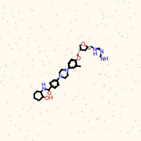 Cc1cc(N2CCN(c3ccc(C(=O)NC4CCCCC4O)cc3)CC2)ccc1OC[C@@H]1CO[C@H](CN/C=N\C=N)C1